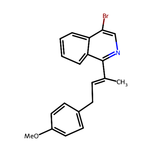 COc1ccc(CC=C(C)c2ncc(Br)c3ccccc23)cc1